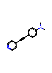 CN(C)c1ccc(C#Cc2ccncc2)cc1